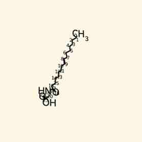 CCCCCCCCC=CCCCCCCCC(=O)NCC(=O)O